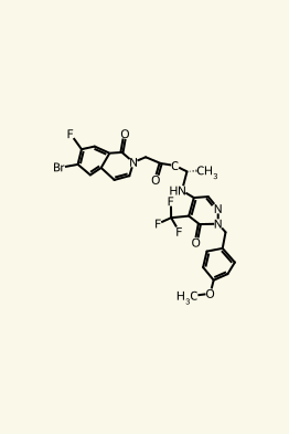 COc1ccc(Cn2ncc(N[C@@H](C)CC(=O)Cn3ccc4cc(Br)c(F)cc4c3=O)c(C(F)(F)F)c2=O)cc1